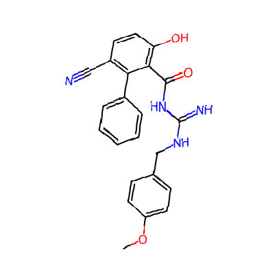 COc1ccc(CNC(=N)NC(=O)c2c(O)ccc(C#N)c2-c2ccccc2)cc1